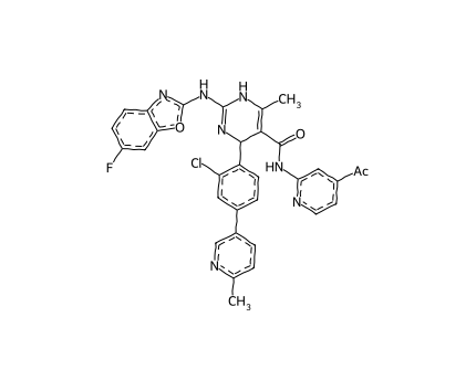 CC(=O)c1ccnc(NC(=O)C2=C(C)NC(Nc3nc4ccc(F)cc4o3)=NC2c2ccc(-c3ccc(C)nc3)cc2Cl)c1